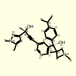 Cc1cc([C@](C)(O)C#Cc2cncc([C@@](O)(c3ccc(C(C)C)cc3)C3(C)CN(C)C3)c2)nn1C